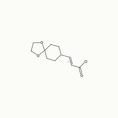 O=C(Cl)/C=C/C1CCC2(CC1)OCCO2